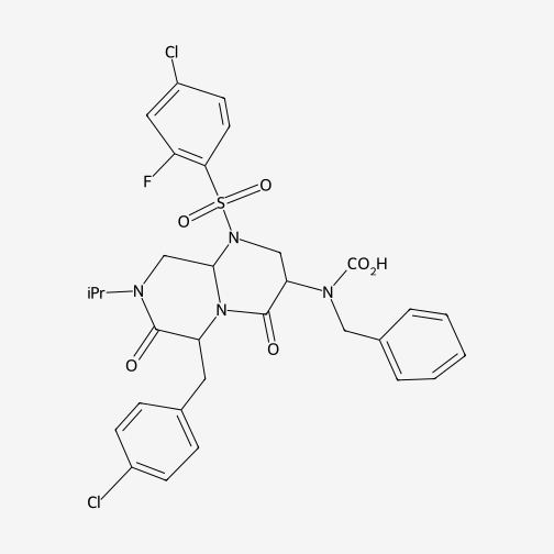 CC(C)N1CC2N(C(=O)C(N(Cc3ccccc3)C(=O)O)CN2S(=O)(=O)c2ccc(Cl)cc2F)C(Cc2ccc(Cl)cc2)C1=O